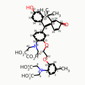 Cc1ccc(N(CC(=O)O)CC(=O)O)c(OCCOc2cc(C3=C4C=CC(=O)C=C4[Si](C)(C)c4cc(O)ccc43)ccc2N(CC(=O)O)CC(=O)O)c1